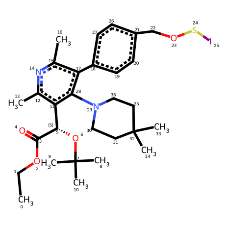 CCOC(=O)[C@@H](OC(C)(C)C)c1c(C)nc(C)c(-c2ccc(COSI)cc2)c1N1CCC(C)(C)CC1